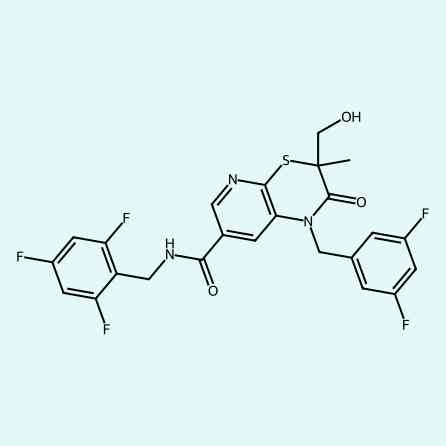 CC1(CO)Sc2ncc(C(=O)NCc3c(F)cc(F)cc3F)cc2N(Cc2cc(F)cc(F)c2)C1=O